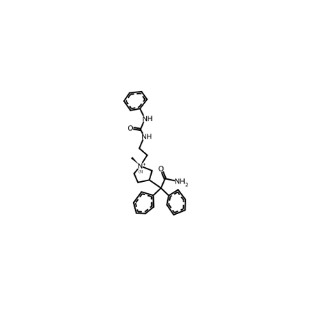 C[N@+]1(CCNC(=O)Nc2ccccc2)CCC(C(C(N)=O)(c2ccccc2)c2ccccc2)C1